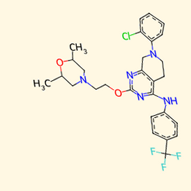 CC1CN(CCOc2nc3c(c(Nc4ccc(C(F)(F)F)cc4)n2)CCN(c2ccccc2Cl)C3)CC(C)O1